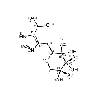 CC(=O)[C@@]1(O)[C@@](O)(C(C)=O)CO[C@@H](Oc2nc[nH]c2C(N)=O)[C@@]1(O)C(C)=O